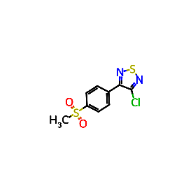 CS(=O)(=O)c1ccc(-c2nsnc2Cl)cc1